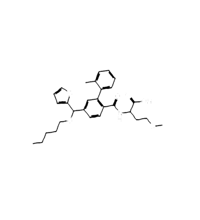 CCCCCOC(c1ccc(C(=O)NC(CCSC)C(=O)O)c(-c2ccccc2C)c1)c1ccco1